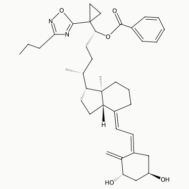 C=C1/C(=C\C=C2/CCC[C@]3(C)[C@@H]([C@H](C)CC[C@@H](OC(=O)c4ccccc4)C4(c5nc(CCC)no5)CC4)CC[C@@H]23)C[C@@H](O)C[C@@H]1O